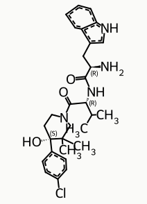 CC(C)[C@@H](NC(=O)[C@H](N)Cc1c[nH]c2ccccc12)C(=O)N1CC[C@](O)(c2ccc(Cl)cc2)C(C)(C)C1